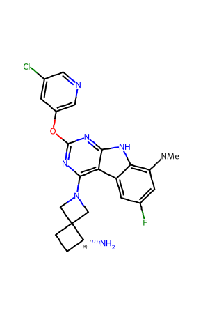 CNc1cc(F)cc2c1[nH]c1nc(Oc3cncc(Cl)c3)nc(N3CC4(CC[C@H]4N)C3)c12